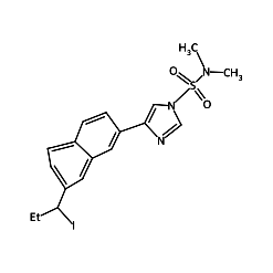 CCC(I)c1ccc2ccc(-c3cn(S(=O)(=O)N(C)C)cn3)cc2c1